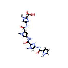 Cn1cc(NC(=O)c2nc(NC(=O)c3cccn3C)cn2C)cc1C(=O)Nc1cn(C)c(C(=O)O)n1